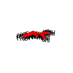 CC(CCCSCCCSCCCC(C)C1CCC2C3CCC4CC(O[C@@H]5OC(CO)[C@@H](O[C@H]6OC(CO)[C@@H](O)C(O)[C@@H]6O)C(O)[C@@H]5O)CCC4(C)C3CC(O[C@@H]3OC(CO)[C@@H](O[C@H]4OC(CO)[C@@H](O)C(O)[C@@H]4O)C(O)[C@@H]3O)C12C)C1CCC2C3CCC4CC(O[C@H]5OC(CO)[C@H](O[C@@H]6OC(CO)[C@H](O)C(O)[C@H]6O)C(O)[C@H]5O)CCC4(C)C3CC(O[C@H]3OC(CO)[C@H](O[C@@H]4OC(CO)[C@H](O)C(O)[C@H]4O)C(O)[C@H]3O)C12C